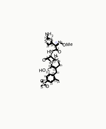 CO/N=C(\C(=O)N[C@@H]1C(=O)N2C(C(=O)O)=C(Cc3ccc(S(C)(=O)=O)cc3C)CS[C@H]12)c1csc(N)n1